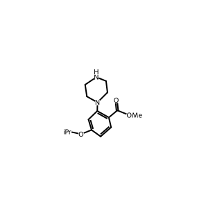 COC(=O)c1ccc(OC(C)C)cc1N1CCNCC1